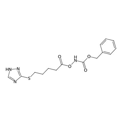 O=C(CCCCSc1nc[nH]n1)ONC(=O)OCc1ccccc1